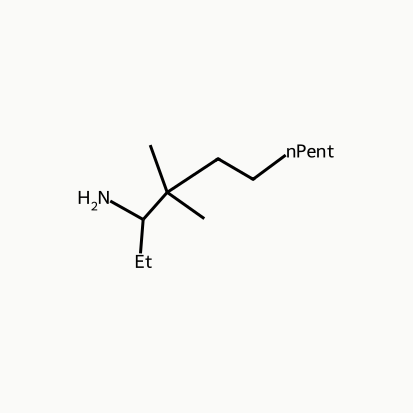 CCCCCCCC(C)(C)C(N)CC